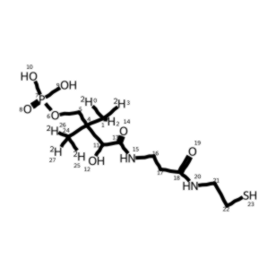 [2H]C([2H])([2H])C(COP(=O)(O)O)(C(O)C(=O)NCCC(=O)NCCS)C([2H])([2H])[2H]